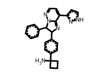 NC1(c2ccc(C3N=C4C(c5cc[nH]n5)=CC=NN4C3c3ccccc3)cc2)CCC1